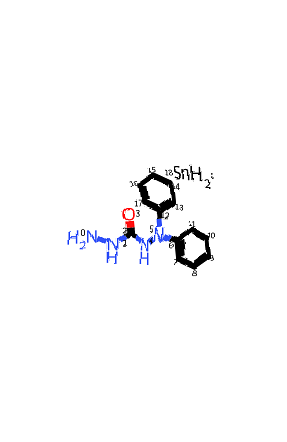 NNC(=O)NN(c1ccccc1)c1ccccc1.[SnH2]